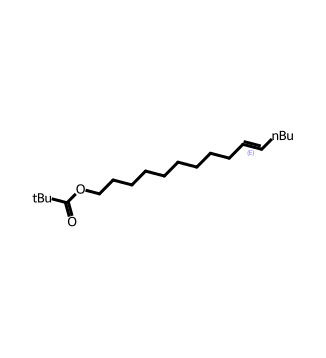 CCCC/C=C/CCCCCCCCCOC(=O)C(C)(C)C